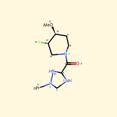 CCCN1CNC(C(=O)N2CC[C@H](OC)[C@H](F)C2)N1